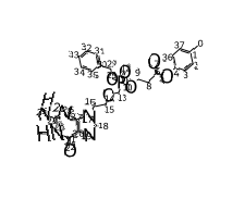 Cc1ccc(OC(=O)CCOP(=O)(COCCn2cnc3c(=O)[nH]c(N)nc32)OCc2ccccc2)cc1